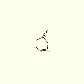 O=C1[C]N=NC=C1